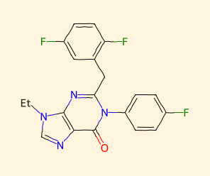 CCn1cnc2c(=O)n(-c3ccc(F)cc3)c(Cc3cc(F)ccc3F)nc21